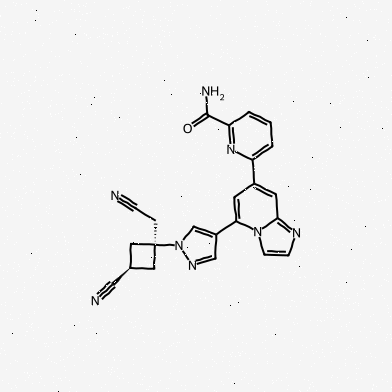 N#CC[C@]1(n2cc(-c3cc(-c4cccc(C(N)=O)n4)cc4nccn34)cn2)C[C@@H](C#N)C1